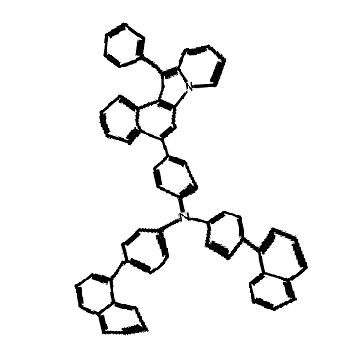 c1ccc(-c2c3c4ccccc4c(-c4ccc(N(c5ccc(-c6cccc7ccccc67)cc5)c5ccc(-c6cccc7ccccc67)cc5)cc4)cc3n3ccccc23)cc1